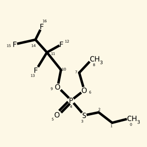 CCCSP(=O)(OCC)OCC(F)(F)C(F)F